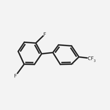 Fc1ccc(F)c(-c2c[c]c(C(F)(F)F)cc2)c1